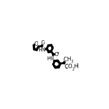 CC(C(=O)O)c1cccc(NC(=O)c2cccc(NC(=O)c3ccco3)c2)c1